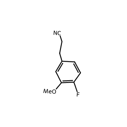 COc1cc(CCC#N)ccc1F